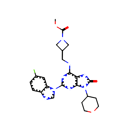 CC(C)(C)OC(=O)N1CC(CNc2nc(-n3cnc4ccc(F)cc43)nc3c2[nH]c(=O)n3C2CCOCC2)C1